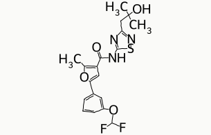 Cc1oc(-c2cccc(OC(F)F)c2)cc1C(=O)Nc1nc(CC(C)(C)O)ns1